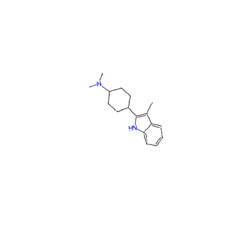 Cc1c(C2CCC(N(C)C)CC2)[nH]c2ccccc12